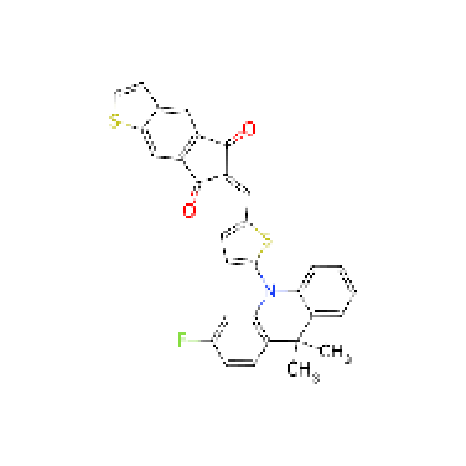 CC1(C)c2ccccc2N(c2ccc(/C=C3/C(=O)c4cc5ccsc5cc4C3=O)s2)c2cc(F)ccc21